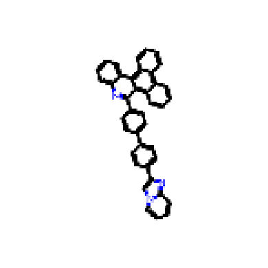 c1ccc2c(c1)nc(-c1ccc(-c3ccc(-c4cn5ccccc5n4)cc3)cc1)c1c3ccccc3c3ccccc3c21